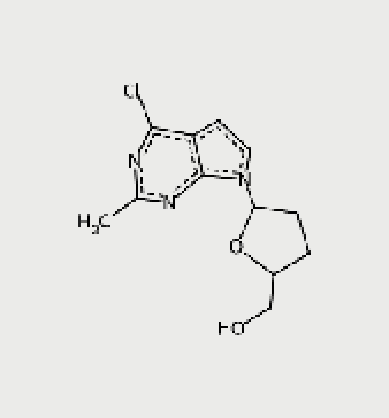 Cc1nc(Cl)c2ccn(C3CCC(CO)O3)c2n1